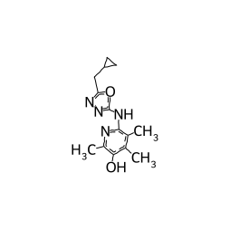 Cc1nc(Nc2nnc(CC3CC3)o2)c(C)c(C)c1O